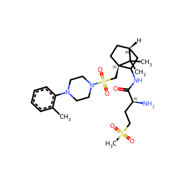 Cc1ccccc1N1CCN(S(=O)(=O)C[C@]23CC[C@H](CC2NC(=O)[C@@H](N)CCS(C)(=O)=O)C3(C)C)CC1